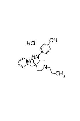 CCCN1CCC(O)(Cc2ccccc2)C(Nc2ccc(O)cc2)C1.Cl